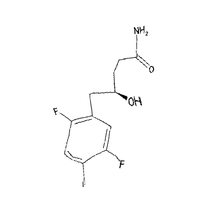 NC(=O)C[C@@H](O)Cc1cc(F)c(F)cc1F